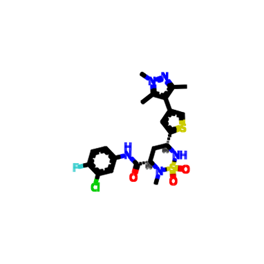 Cc1nn(C)c(C)c1-c1csc([C@H]2C[C@@H](C(=O)Nc3ccc(F)c(Cl)c3)N(C)S(=O)(=O)N2)c1